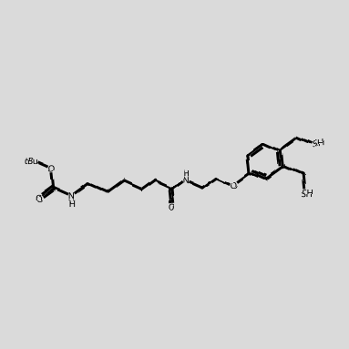 CC(C)(C)OC(=O)NCCCCCC(=O)NCCOc1ccc(CS)c(CS)c1